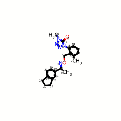 CC(=NOCc1c(C)cccc1-n1nnn(C)c1=O)c1ccc2c(c1)CCC2